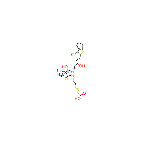 CC1(C)C(=O)[C@H](SCCCSCC(=O)O)[C@@H](/C=C/C(O)CCc2sc3ccccc3c2Cl)[C@@H]1O